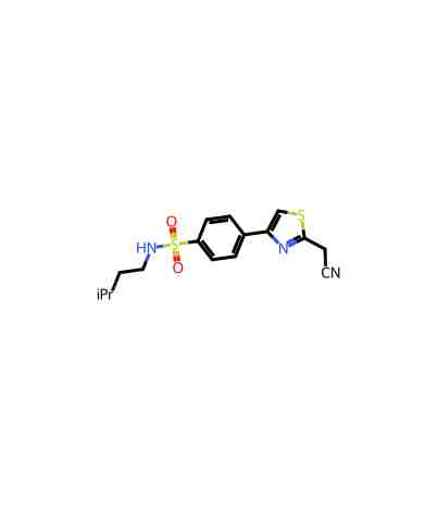 CC(C)CCNS(=O)(=O)c1ccc(-c2csc(CC#N)n2)cc1